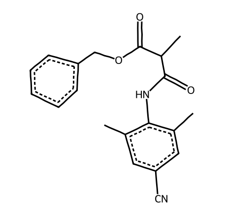 Cc1cc(C#N)cc(C)c1NC(=O)C(C)C(=O)OCc1ccccc1